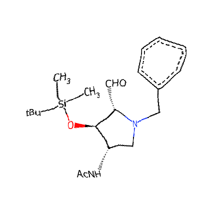 CC(=O)N[C@H]1CN(Cc2ccccc2)[C@@H](C=O)[C@@H]1O[Si](C)(C)C(C)(C)C